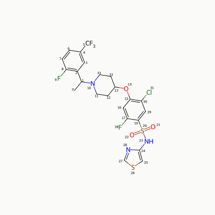 CC(c1cc(C(F)(F)F)ccc1F)N1CCC(Oc2cc(F)c(S(=O)(=O)Nc3cscn3)cc2Cl)CC1